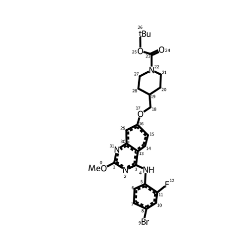 COc1nc(Nc2ccc(Br)cc2F)c2ccc(OCC3CCN(C(=O)OC(C)(C)C)CC3)cc2n1